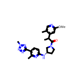 COc1cc(C(C)C(=O)N2CC[C@H](Nc3ccc(-c4nnn(C)n4)c(C)n3)C2)c(C)cn1